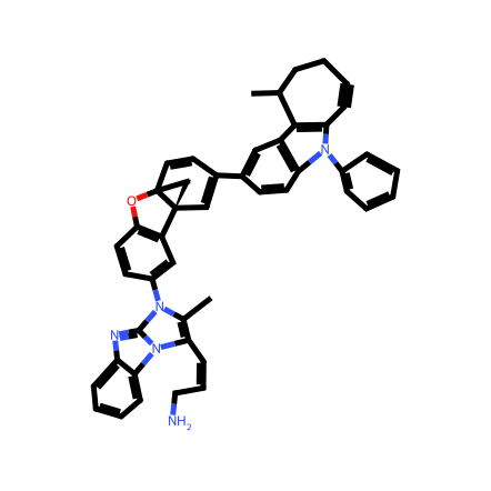 Cc1c(/C=C\CN)n2c3ccccc3nc2n1-c1ccc2c(c1)[C@@]13C=C(c4ccc5c(c4)c4c(n5-c5ccccc5)C#CCCC4C)C=CC1(C3)O2